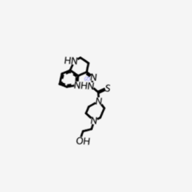 OCCN1CCN(C(=S)N/N=C2/CCNc3cccnc32)CC1